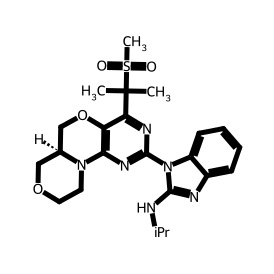 CC(C)Nc1nc2ccccc2n1-c1nc2c(c(C(C)(C)S(C)(=O)=O)n1)OC[C@@H]1COCCN21